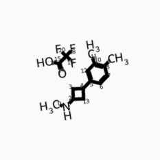 CNC1CC(c2ccc(C)c(C)c2)C1.O=C(O)C(F)(F)F